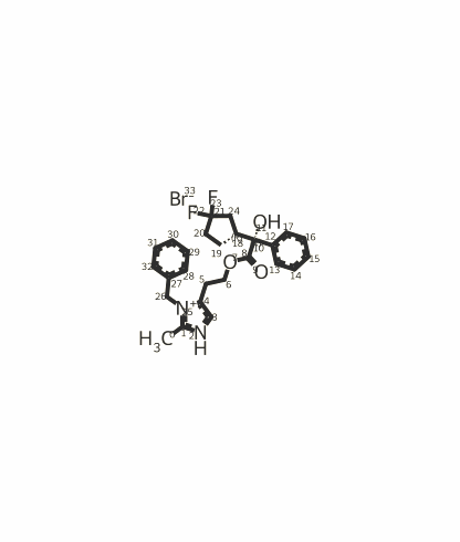 Cc1[nH]cc(CCOC(=O)[C@](O)(c2ccccc2)[C@@H]2CCC(F)(F)C2)[n+]1Cc1ccccc1.[Br-]